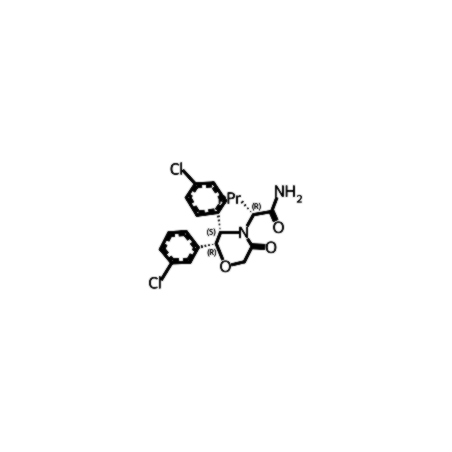 CCC[C@H](C(N)=O)N1C(=O)CO[C@H](c2cccc(Cl)c2)[C@@H]1c1ccc(Cl)cc1